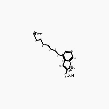 CCCCCCCCCCCCCCCCCc1cccc2[nH]c(S(=O)(=O)O)nc12